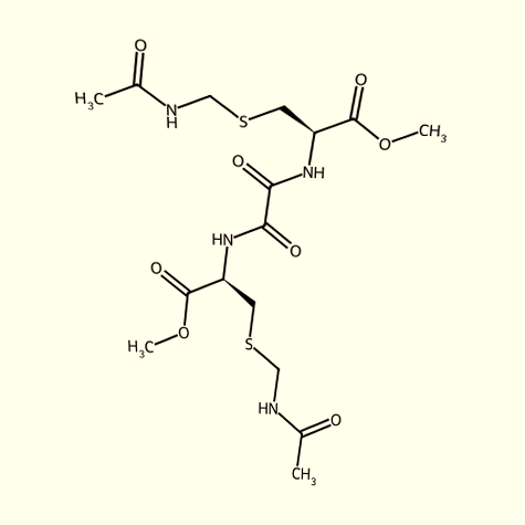 COC(=O)[C@H](CSCNC(C)=O)NC(=O)C(=O)N[C@@H](CSCNC(C)=O)C(=O)OC